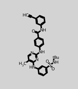 C#Cc1cccc(NC(=O)c2ccc(Nc3ncc(C)c(Nc4cccc(S(=O)(=O)NC(C)(C)C)c4)n3)cc2)c1